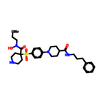 COCCN(O)C(=O)C1(S(=O)(=O)c2ccc(N3CCC(C(=O)NCCCc4ccccc4)CC3)cc2)CCNCC1